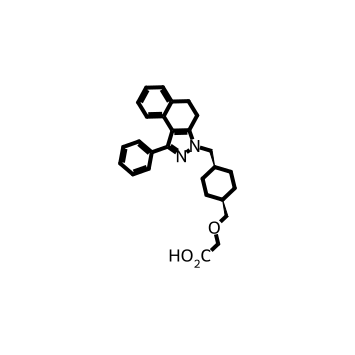 O=C(O)COC[C@H]1CC[C@@H](Cn2nc(-c3ccccc3)c3c2CCc2ccccc2-3)CC1